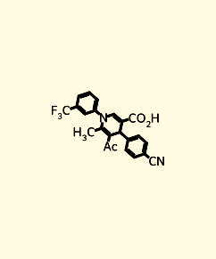 CC(=O)C1=C(C)N(c2cccc(C(F)(F)F)c2)C=C(C(=O)O)C1c1ccc(C#N)cc1